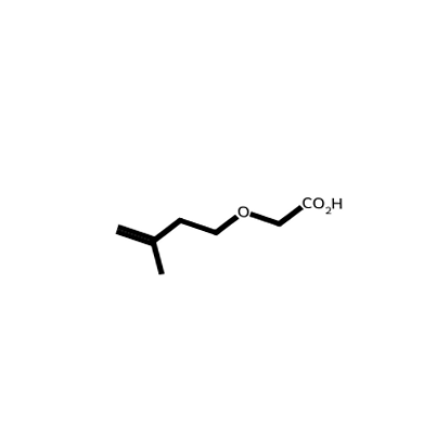 C=C(C)CCOCC(=O)O